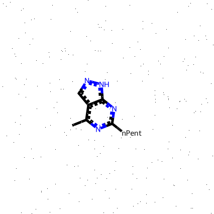 CCCCCc1nc(C)c2cn[nH]c2n1